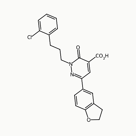 O=C(O)c1cc(-c2ccc3c(c2)CCO3)nn(CCCc2ccccc2Cl)c1=O